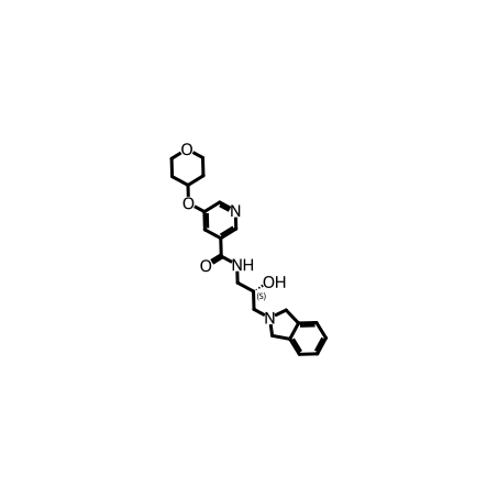 O=C(NC[C@H](O)CN1Cc2ccccc2C1)c1cncc(OC2CCOCC2)c1